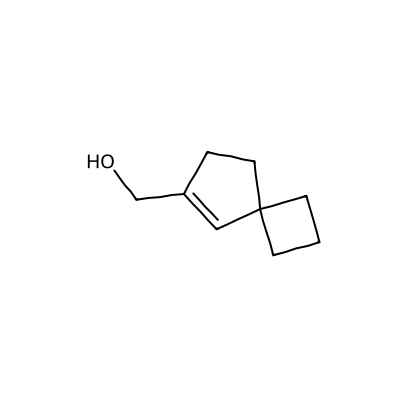 OCC1=CC2(CCC2)CC1